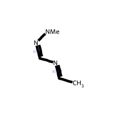 C/C=N/C=N\NC